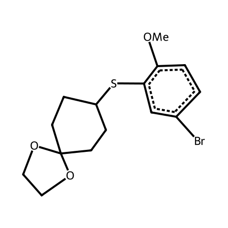 COc1ccc(Br)cc1SC1CCC2(CC1)OCCO2